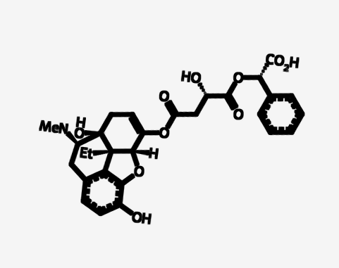 CC[C@]12c3c4ccc(O)c3O[C@H]1C(OC(=O)C[C@H](O)C(=O)O[C@H](C(=O)O)c1ccccc1)=CC[C@@]2(O)[C@H](NC)C4